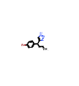 CCCC(c1ccc(Br)cc1)c1c[nH]nn1